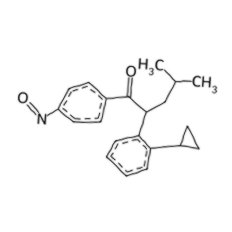 CC(C)CC(C(=O)c1ccc(N=O)cc1)c1ccccc1C1CC1